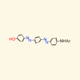 CC(=O)Nc1ccc(N=Nc2ccc(N=Nc3ccc(O)cc3)cc2)cc1